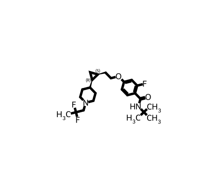 CC(F)(F)CN1CCC([C@H]2C[C@H]2CCOc2ccc(C(=O)NC(C)(C)C)c(F)c2)CC1